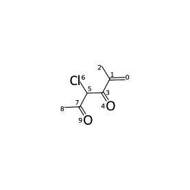 C=C(C)C(=O)C(Cl)C(C)=O